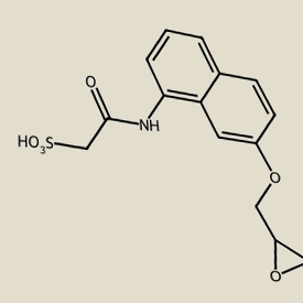 O=C(CS(=O)(=O)O)Nc1cccc2ccc(OCC3CO3)cc12